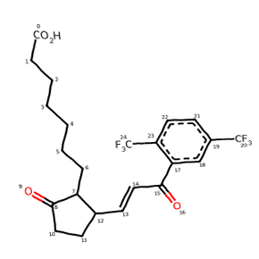 O=C(O)CCCCCCC1C(=O)CCC1C=CC(=O)c1cc(C(F)(F)F)ccc1C(F)(F)F